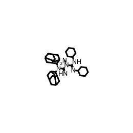 N=C(N(N)C(=NC1CCCCC1)NC1CCCCC1)N(C1C2CC3CC(C2)CC1C3)C1C2CC3CC(C2)CC1C3